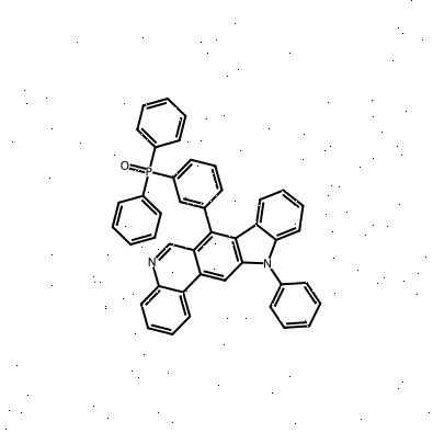 O=P(c1ccccc1)(c1ccccc1)c1cccc(-c2c3cnc4ccccc4c3cc3c2c2ccccc2n3-c2ccccc2)c1